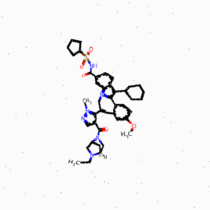 CCN1CC2C[C@H]1CN2C(=O)c1cnn(C)c1C1=Cc2cc(OC)ccc2-c2c(C3CCCCC3)c3ccc(C(=O)NS(=O)(=O)C4CCCC4)cc3n2C1